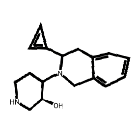 O[C@H]1CNCCC1N1Cc2ccccc2CC1C1=C=C1